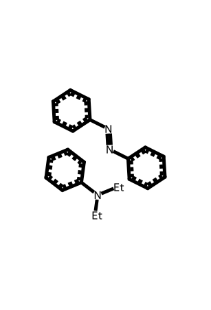 CCN(CC)c1ccccc1.c1ccc(N=Nc2ccccc2)cc1